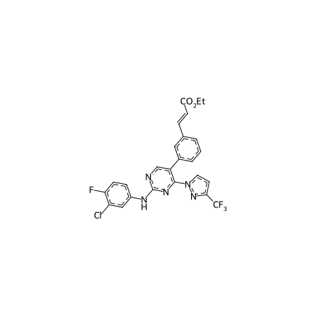 CCOC(=O)/C=C/c1cccc(-c2cnc(Nc3ccc(F)c(Cl)c3)nc2-n2ccc(C(F)(F)F)n2)c1